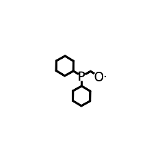 [O]CP(C1CCCCC1)C1CCCCC1